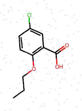 CCCOc1ccc(Cl)cc1C(=O)O